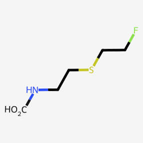 O=C(O)NCCSCCF